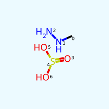 CNN.O=S(O)O